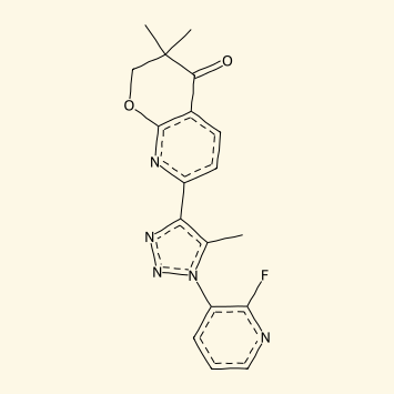 Cc1c(-c2ccc3c(n2)OCC(C)(C)C3=O)nnn1-c1cccnc1F